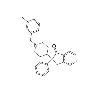 Cc1cccc(CN2CCC(C3(c4ccccc4)Cc4ccccc4C3=O)CC2)c1